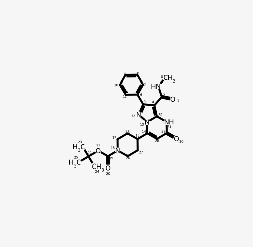 CNC(=O)c1c(-c2ccccc2)nn2c(C3CCN(C(=O)OC(C)(C)C)CC3)cc(=O)[nH]c12